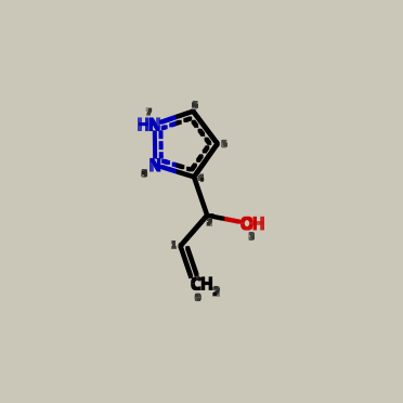 C=C[C](O)c1cc[nH]n1